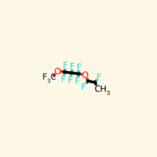 CC(F)C(F)OC(F)(F)C(F)(F)C(F)(F)OC(F)(F)F